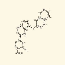 O=C(O)c1ccc(-c2cnc3ncc(Cc4ccc5ncccc5c4)n3n2)cc1F